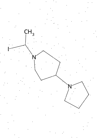 CC(I)N1CCC(N2CCCC2)CC1